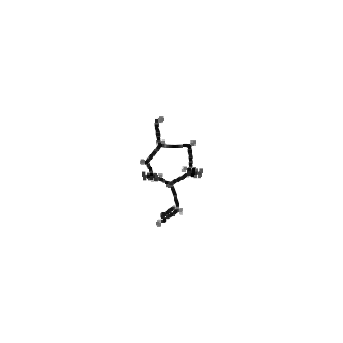 CC1CNC(C=S)NC1